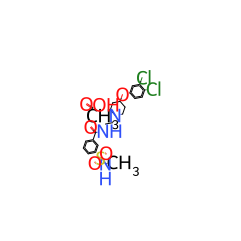 CC(=O)O.CNS(=O)(=O)c1cccc(C(=O)NCCN2CCC(Oc3ccc(Cl)c(Cl)c3)CC2)c1